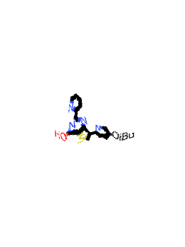 CC(C)COc1ccc(-c2csc3c(O)nc(-c4ccccn4)nc23)nc1